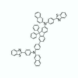 c1ccc(C2(c3ccccc3)c3cc(-c4ccc(N(c5ccc(-c6nc7ccccc7s6)cc5)c5ccc6ccccc6c5)cc4)ccc3-c3ccc(N(c4ccc(-c5nc6ccccc6s5)cc4)c4ccc5ccccc5c4)cc32)cc1